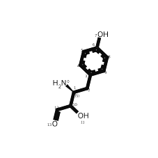 N[C@@H](Cc1ccc(O)cc1)C(O)C=O